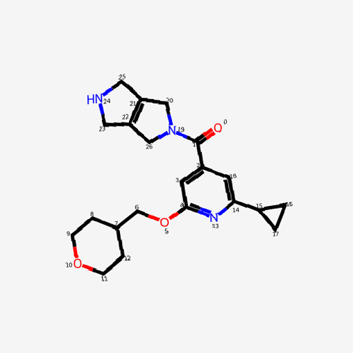 O=C(c1cc(OCC2CCOCC2)nc(C2CC2)c1)N1CC2=C(CNC2)C1